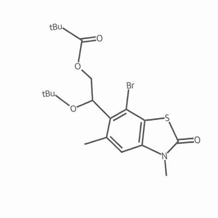 Cc1cc2c(sc(=O)n2C)c(Br)c1C(COC(=O)C(C)(C)C)OC(C)(C)C